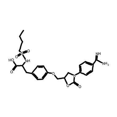 CCCCS(=O)(=O)NC(Cc1ccc(OCC2CN(c3ccc(C(=N)N)cc3)C(=O)O2)cc1)C(=O)O